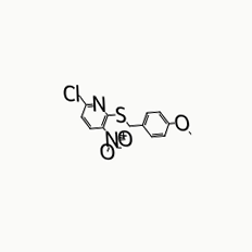 COc1ccc(CSc2nc(Cl)ccc2[N+](=O)[O-])cc1